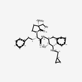 CC(=O)N[C@@]1(CC(C)C)CCN([C@@H](CCc2ccccc2)C(=O)N[C@@H](Cc2ccccc2)[C@@H](O)CNCC2CC2)C1=O